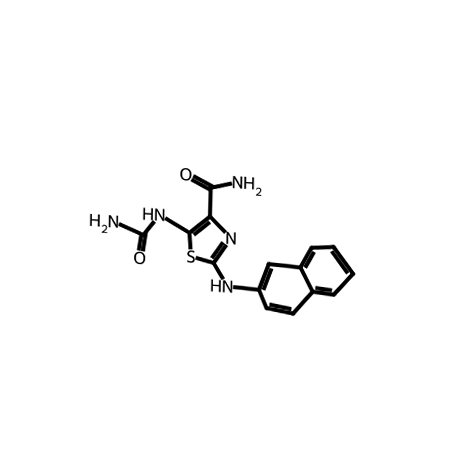 NC(=O)Nc1sc(Nc2ccc3ccccc3c2)nc1C(N)=O